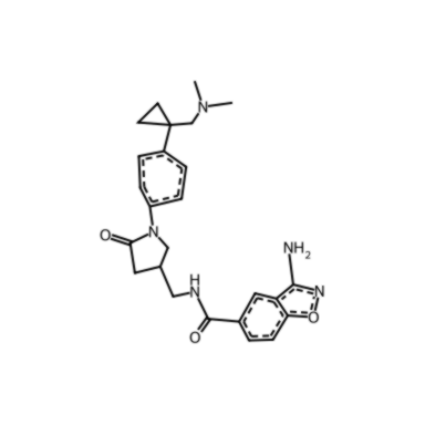 CN(C)CC1(c2ccc(N3CC(CNC(=O)c4ccc5onc(N)c5c4)CC3=O)cc2)CC1